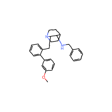 COc1cccc(-c2ccccc2CC2C(NCc3ccccc3)C3CCN2CC3)c1